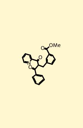 COC(=O)c1cccc(CC(C(=O)c2ccccc2)C(=O)c2ccccn2)c1